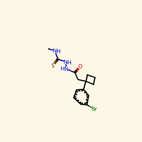 CNC(=S)NNC(=O)CC1(c2cccc(Br)c2)CCC1